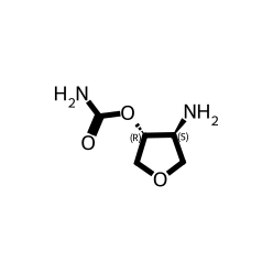 NC(=O)O[C@H]1COC[C@@H]1N